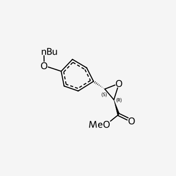 CCCCOc1ccc([C@@H]2O[C@H]2C(=O)OC)cc1